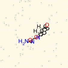 C[C@]12CCC(=NOCCc3ncc(CN)o3)C=C1CCC1C2CC[C@]2(C)C(=O)CCC12